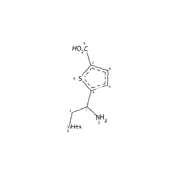 CCCCCCCC(N)c1ccc(C(=O)O)s1